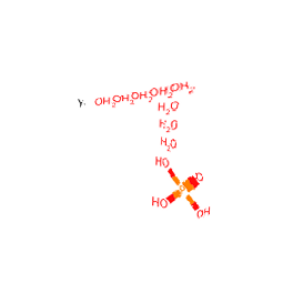 O.O.O.O.O.O.O.O.O=P(O)(O)O.[Y]